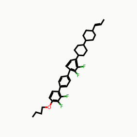 C/C=C/C1CCC(C2CCC(c3ccc(-c4ccc(-c5ccc(OCCCC)c(F)c5F)cc4)c(F)c3F)CC2)CC1